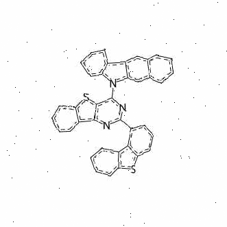 c1ccc2cc3c(cc2c1)c1ccccc1n3-c1nc(-c2cccc3sc4ccccc4c23)nc2c1sc1ccccc12